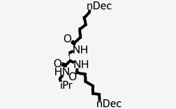 CCCCCCCCCCCCCCCC(=O)NC[C@H](NC(=O)CCCCCCCCCCCCCCC)C(=O)NCC(C)C